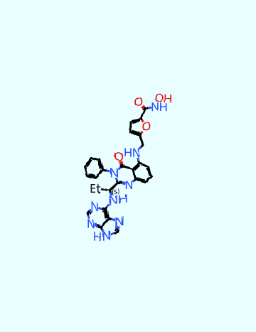 CC[C@H](Nc1ncnc2[nH]cnc12)c1nc2cccc(NCc3ccc(C(=O)NO)o3)c2c(=O)n1-c1ccccc1